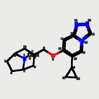 O=C(O)N1C2CCC1CC(COc1cc3nncn3cc1C1CC1)C2